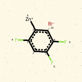 Fc1cc(F)[c]([Zn+])cc1F.[Br-]